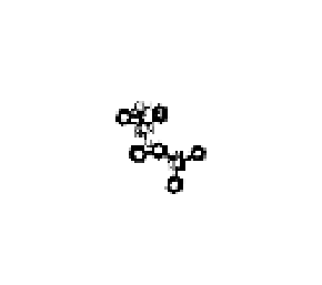 C[Si]1(C)c2ccccc2-c2nc(-n3c4ccccc4c4cc(-c5nc(-c6ccccc6)cc(-c6ccccc6)n5)ccc43)nc(-c3ccccc3)c21